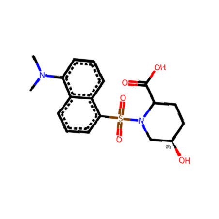 CN(C)c1cccc2c(S(=O)(=O)N3C[C@H](O)CCC3C(=O)O)cccc12